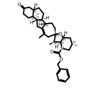 CC1=C2C[C@H]3[C@@H](CC[C@H]4CC(=O)CC[C@@]43C)[C@@H]2CC[C@@]2(C1)O[C@@H]1C[C@H](C)CN(C(=O)OCc3ccccc3)[C@H]1[C@H]2C